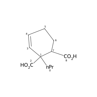 CCCC1(C(=O)O)C=CCCC1C(=O)O